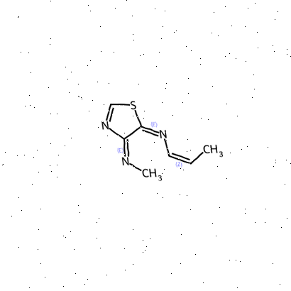 C\C=C/N=C1/SC=N/C1=N/C